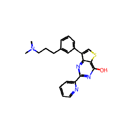 CN(C)CCCc1cccc(-c2csc3c(O)nc(-c4ccccn4)nc23)c1